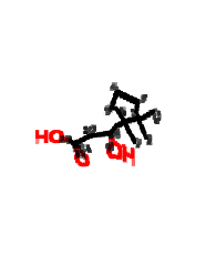 CC1(C)C=CCC1(C)[C@@H](O)CC(=O)O